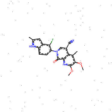 COc1nc2c(=O)n(-c3ccc4[nH]c(C)cc4c3F)cc(C#N)c2c(C)c1OC